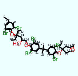 CCc1cc(Br)c(OC(CC)(CC)CC(O)COc2c(Br)cc(C(C)(C)c3cc(Br)c(OC(CC)(CC)CC4CO4)c(Br)c3)cc2Br)c(Br)c1